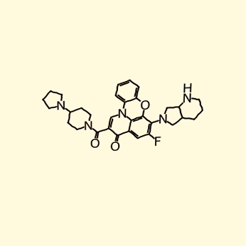 O=C(c1cn2c3c(c(N4CC5CCCNC5C4)c(F)cc3c1=O)Oc1ccccc1-2)N1CCC(N2CCCC2)CC1